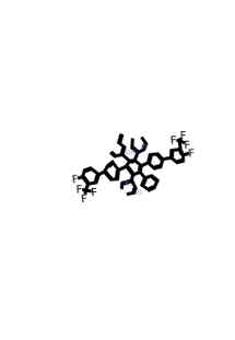 C=C/C=C(\C=C)c1c(C(/C=C\C)=C/C)c(-c2ccc(-c3ccc(F)c(C(F)(F)F)c3)cc2)c(-c2ccccc2)c(C(/C=C\C)=C/C)c1-c1ccc(-c2ccc(F)c(C(F)(F)F)c2)cc1